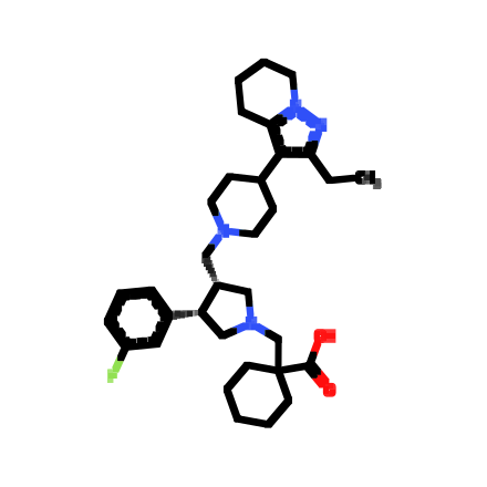 CCc1nn2c(c1C1CCN(C[C@@H]3CN(CC4(C(=O)O)CCCCC4)C[C@@H]3c3cccc(F)c3)CC1)CCCC2